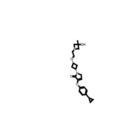 CC1(O)CN(CCO[C@H]2C[C@@H](N3CC=C(Oc4ccc(C5CC5)cc4)C3=O)C2)C1